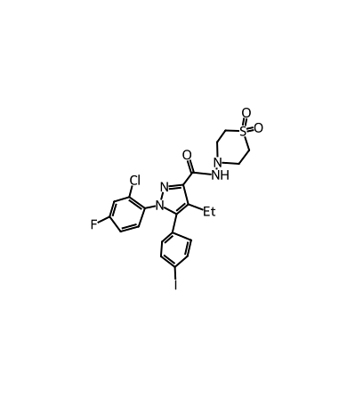 CCc1c(C(=O)NN2CCS(=O)(=O)CC2)nn(-c2ccc(F)cc2Cl)c1-c1ccc(I)cc1